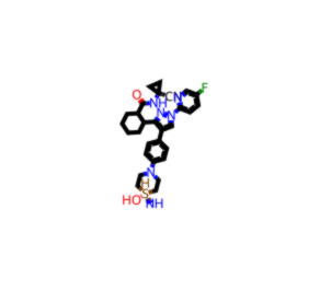 N#CC1(NC(=O)C2CCCCC2c2nn(-c3ccc(F)cn3)cc2-c2ccc(N3CC[SH](=N)(O)CC3)cc2)CC1